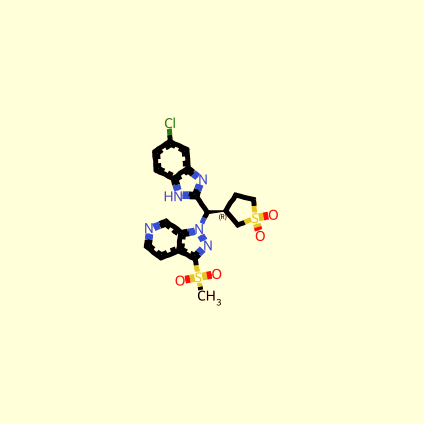 CS(=O)(=O)c1nn(C(c2nc3cc(Cl)ccc3[nH]2)[C@H]2CCS(=O)(=O)C2)c2cnccc12